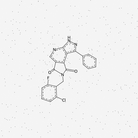 O=C1c2cnc3[nH]nc(-c4ccccc4)c3c2C(=O)N1Cc1c(F)cccc1Cl